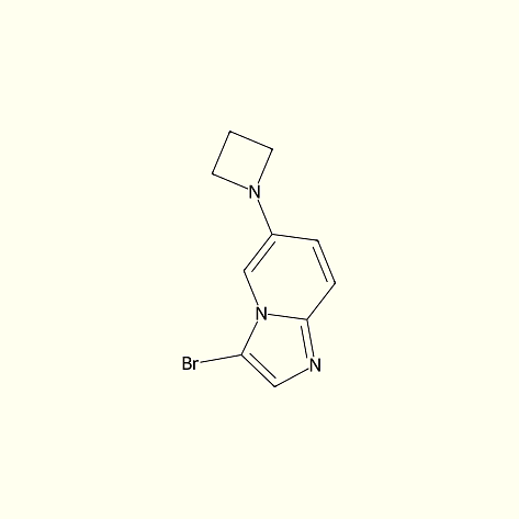 Brc1cnc2ccc(N3CCC3)cn12